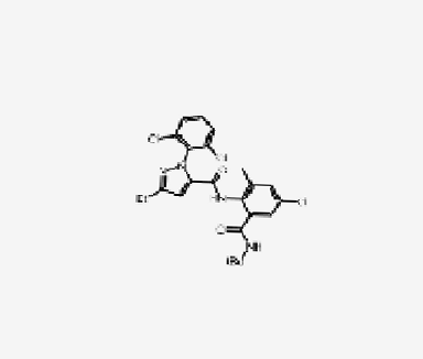 CCc1cc(C(=O)Nc2c(C)cc(Cl)cc2C(=O)NC(C)(C)C)n(-c2c(Cl)cccc2Cl)n1